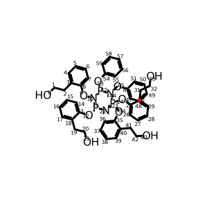 OCCc1ccccc1ON1P(Oc2ccccc2CCO)N=P(Oc2ccccc2CCO)(Oc2ccccc2CCO)N(Oc2ccccc2)P1Oc1ccccc1